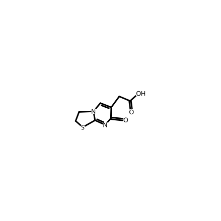 O=C(O)Cc1cn2c(nc1=O)SCC2